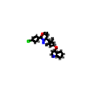 CCC(NC(=O)c1ccc(Cl)cc1)[C@H]1[C@@H]2C[C@H](Oc3ccnc4ccccc34)C[C@@H]21